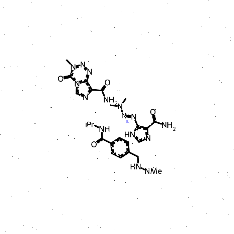 CN(C)/N=N/c1[nH]cnc1C(N)=O.CNNCc1ccc(C(=O)NC(C)C)cc1.Cn1nnc2c(C(N)=O)ncn2c1=O